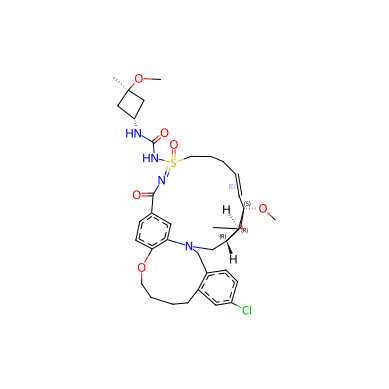 CO[C@@]12/C=C/CCCS(=O)(NC(=O)N[C@H]3C[C@](C)(OC)C3)=NC(=O)c3ccc4c(c3)N(Cc3ccc(Cl)cc3CCCCO4)C[C@H](C1)[C@H]2C